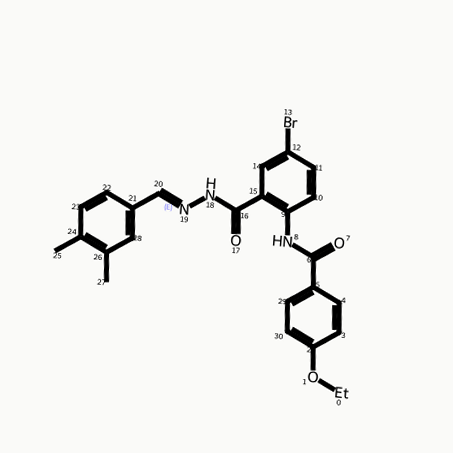 CCOc1ccc(C(=O)Nc2ccc(Br)cc2C(=O)N/N=C/c2ccc(C)c(C)c2)cc1